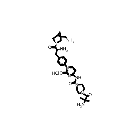 CC(C)(N)C(=O)N1CCN(C(=O)Nc2ccn(-c3ccc(C[C@H](N)C(=O)N4CC5CC5(CN)C4)cc3)c(=O)n2)CC1.Cl